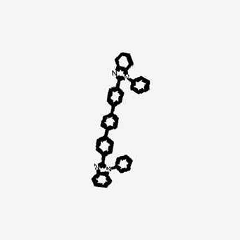 C1=Cc2c(nc(-c3ccc(-c4ccc(-c5ccc(-c6nc7ccccc7n6-c6ccccc6)cc5)cc4)cc3)n2-c2ccccc2)CC1